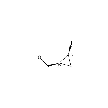 OC[C@@H]1C[C@@H]1I